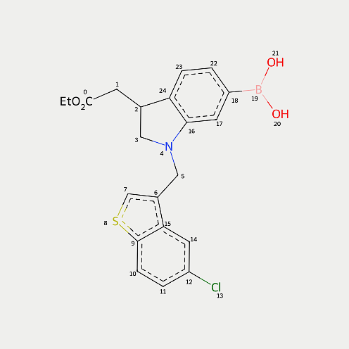 CCOC(=O)CC1CN(Cc2csc3ccc(Cl)cc23)c2cc(B(O)O)ccc21